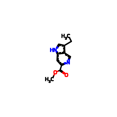 CCc1c[nH]c2cc(C(=O)OC)ncc12